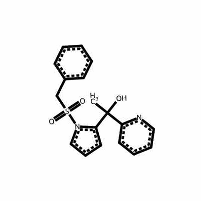 CC(O)(c1ccccn1)c1cccn1S(=O)(=O)Cc1ccccc1